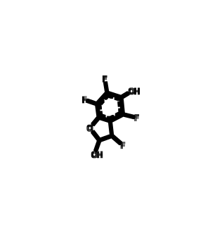 Oc1c(F)c(F)c2c(c1F)C(F)C(O)O2